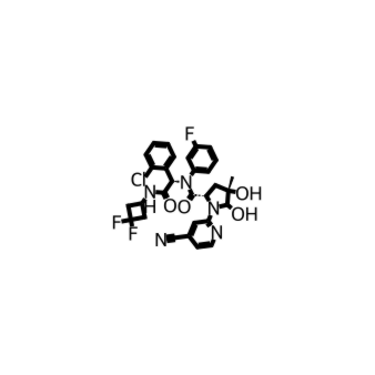 C[C@]1(O)C[C@@H](C(=O)N(c2cccc(F)c2)[C@H](C(=O)NC2CC(F)(F)C2)c2ccccc2Cl)N(c2cc(C#N)ccn2)C1O